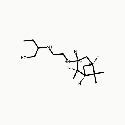 CCC(CO)NCCN[C@@H]1C[C@@H]2C[C@H]([C@H]1C)C2(C)C